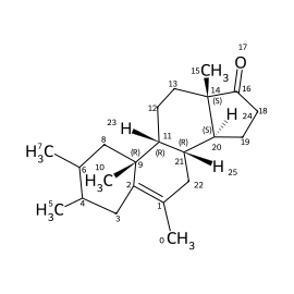 CC1=C2CC(C)C(C)C[C@]2(C)[C@@H]2CC[C@]3(C)C(=O)CC[C@H]3[C@@H]2C1